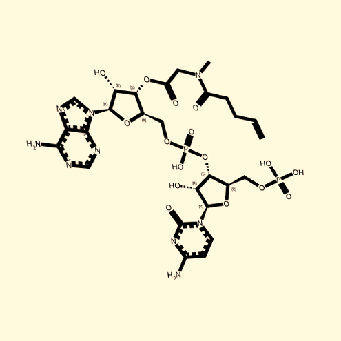 C=CCCC(=O)N(C)CC(=O)O[C@H]1[C@@H](O)[C@H](n2cnc3c(N)ncnc32)O[C@@H]1COP(=O)(O)O[C@H]1[C@@H](O)[C@H](n2ccc(N)nc2=O)O[C@@H]1COP(=O)(O)O